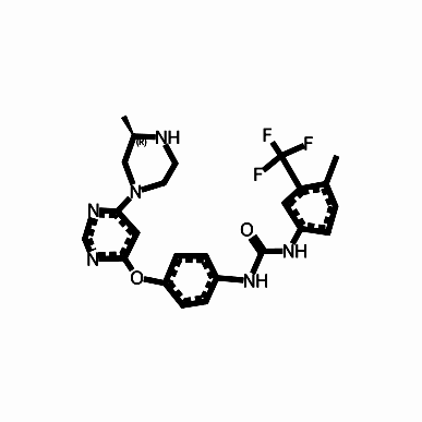 Cc1ccc(NC(=O)Nc2ccc(Oc3cc(N4CCN[C@H](C)C4)ncn3)cc2)cc1C(F)(F)F